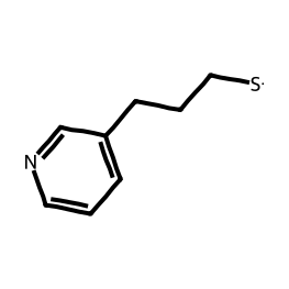 [S]CCCc1cccnc1